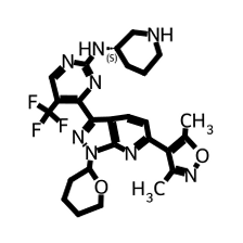 Cc1noc(C)c1-c1ccc2c(-c3nc(N[C@H]4CCCNC4)ncc3C(F)(F)F)nn(C3CCCCO3)c2n1